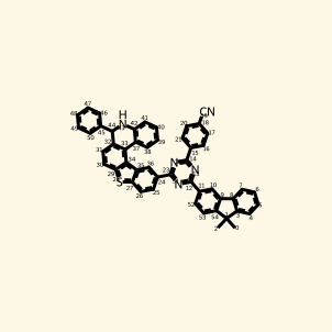 CC1(C)c2ccccc2-c2cc(-c3nc(-c4ccc(C#N)cc4)nc(-c4ccc5sc6ccc7c(c6c5c4)-c4ccccc4NC7c4ccccc4)n3)ccc21